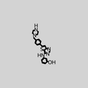 Oc1cccc(Nc2ncnc3cc(-c4ccc(CN5CCNCC5)cc4)sc23)c1